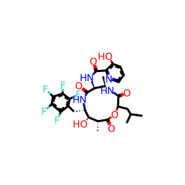 CC(C)CC1OC(=O)[C@H](C)[C@H](O)[C@H](Cc2c(F)c(F)c(F)c(F)c2F)NC(=O)[C@@H](NC(=O)c2ncccc2O)[C@@H](C)NC1=O